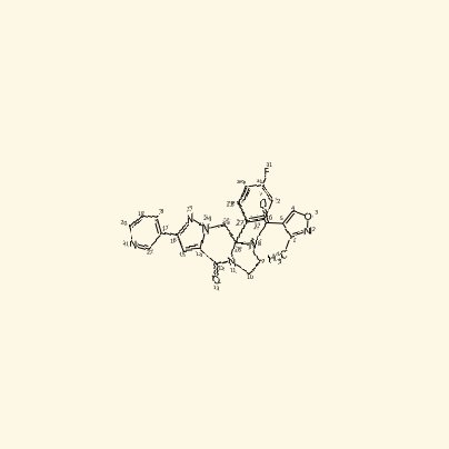 Cc1nocc1C(=O)N1CCN2C(=O)c3cc(-c4cccnc4)nn3CC12c1ccc(F)cc1